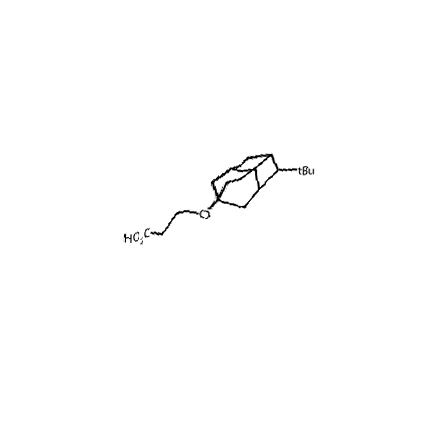 CC(C)(C)C1C2CC3CC1CC(OCCC(=O)O)(C3)C2